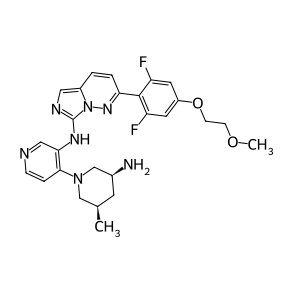 COCCOc1cc(F)c(-c2ccc3cnc(Nc4cnccc4N4C[C@H](C)C[C@H](N)C4)n3n2)c(F)c1